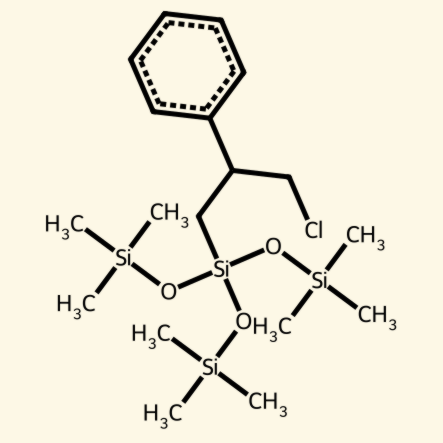 C[Si](C)(C)O[Si](CC(CCl)c1ccccc1)(O[Si](C)(C)C)O[Si](C)(C)C